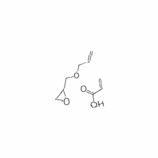 C=CC(=O)O.C=CCOCC1CO1